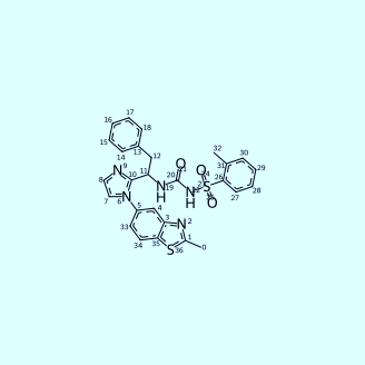 Cc1nc2cc(-n3ccnc3C(Cc3ccccc3)NC(=O)NS(=O)(=O)c3ccccc3C)ccc2s1